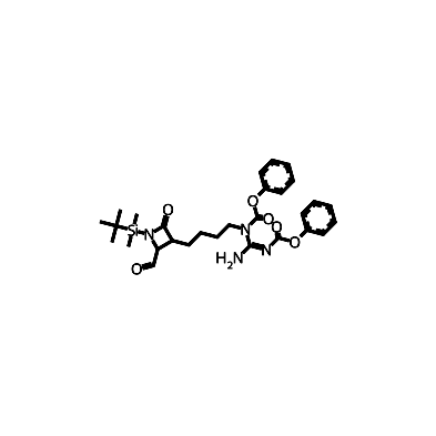 CC(C)(C)[Si](C)(C)N1C(=O)C(CCCCN(C(=O)Oc2ccccc2)/C(N)=N\C(=O)Oc2ccccc2)C1C=O